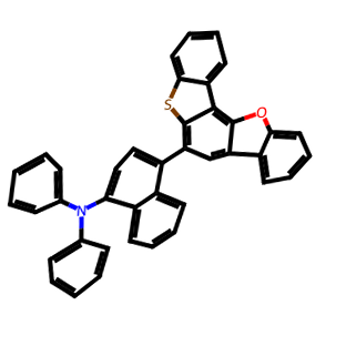 c1ccc(N(c2ccccc2)c2ccc(-c3cc4c5ccccc5oc4c4c3sc3ccccc34)c3ccccc23)cc1